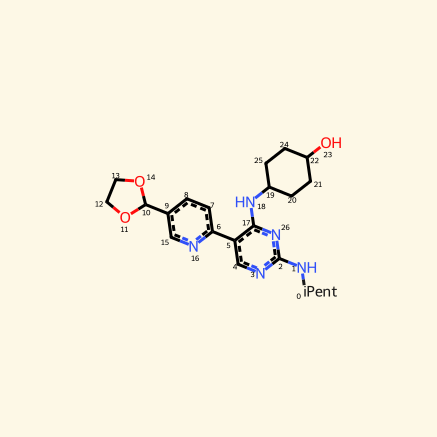 CCCC(C)Nc1ncc(-c2ccc(C3OCCO3)cn2)c(NC2CCC(O)CC2)n1